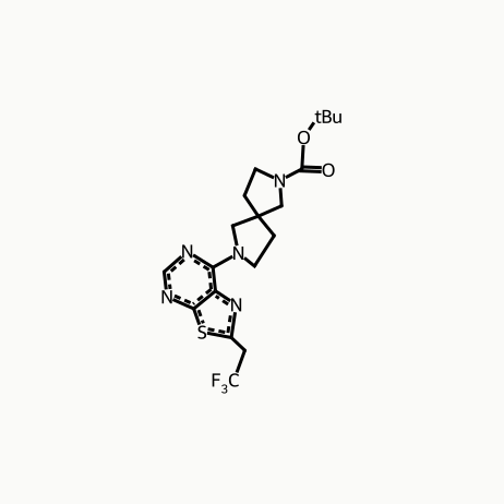 CC(C)(C)OC(=O)N1CCC2(CCN(c3ncnc4sc(CC(F)(F)F)nc34)C2)C1